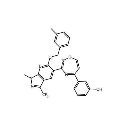 Cc1cccc(COc2nc3c(cc2C2=NOC=CC(c4cccc(O)c4)=N2)c(C(F)(F)F)nn3C)c1